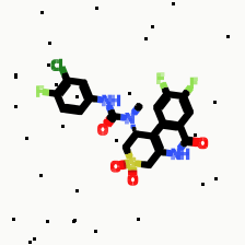 CN(C(=O)Nc1ccc(F)c(Cl)c1)[C@H]1CS(=O)(=O)Cc2[nH]c(=O)c3cc(F)c(F)cc3c21